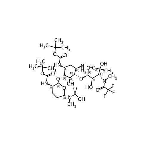 CN(C(=O)O)[C@@H]1CC[C@@H](NC(=O)OC(C)(C)C)[C@H](O[C@H]2[C@H](O)[C@@H](O[C@H]3OC[C@](C)(O)[C@H](N(C)C(=O)C(F)(F)F)[C@H]3O)[C@H](N)C[C@@H]2NC(=O)OC(C)(C)C)O1